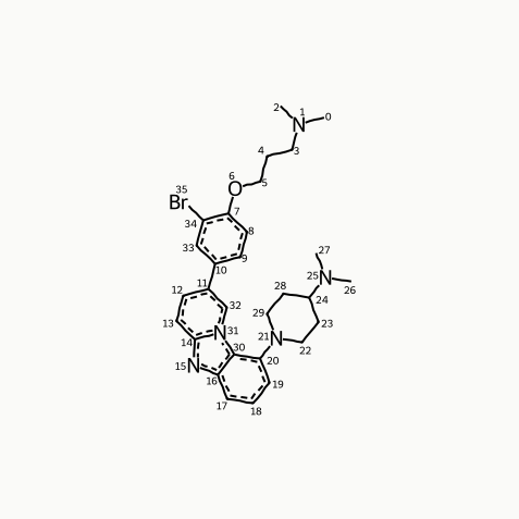 CN(C)CCCOc1ccc(-c2ccc3nc4cccc(N5CCC(N(C)C)CC5)c4n3c2)cc1Br